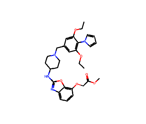 CCOc1cc(CN2CCC(Nc3nc4cccc(OCC(=O)OC)c4o3)CC2)cc(OCC)c1-n1cccc1